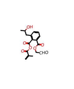 C=C(C)C(=O)OC(=O)c1c(CC(C)O)cccc1C(=O)OCC=O